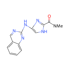 CNC(=O)c1nc(Nc2ncc3ccccc3n2)c[nH]1